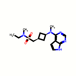 CCN(C)S(=O)(=O)C[C@H]1C[C@@H](N(C)c2ncnc3[nH]ccc23)C1